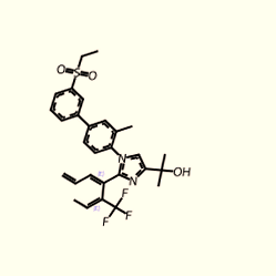 C=C/C=C(\C(=C/C)C(F)(F)F)c1nc(C(C)(C)O)cn1-c1ccc(-c2cccc(S(=O)(=O)CC)c2)cc1C